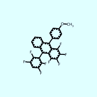 COc1ccc(-c2c3ccccc3c(-c3c(F)c(F)cc(F)c3F)c3c(F)c(F)c(F)c(F)c23)cc1